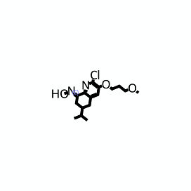 COCCCOc1cc2c(nc1Cl)/C(=N/O)CC(C(C)C)C2